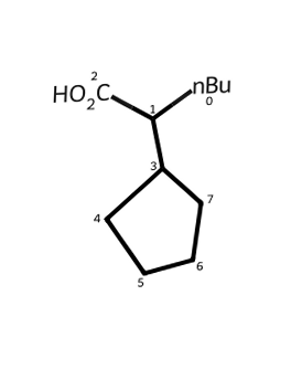 CCCCC(C(=O)O)C1CCCC1